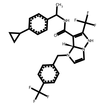 CC(NC(=O)C1=C(C(F)(F)F)NN2C=CN(Cc3ccc(C(F)(F)F)cc3)[C@H]12)c1ccc(C2CC2)cc1